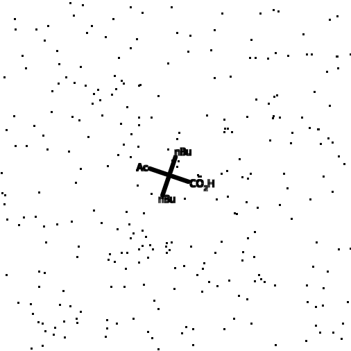 CCCCC(CCCC)(C(C)=O)C(=O)O